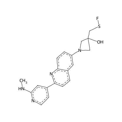 CNc1cc(-c2ccc3cc(N4CC(O)(CSF)C4)ccc3n2)ccn1